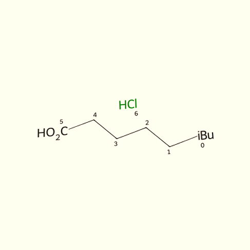 CCC(C)CCCCC(=O)O.Cl